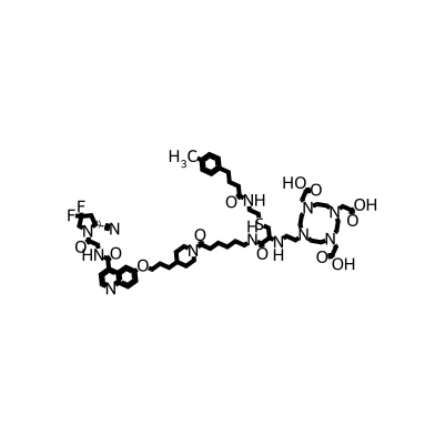 Cc1ccc(CCCC(=O)NCCSCC(NCCN2CCN(CC(=O)O)CCN(CC(=O)O)CCN(CC(=O)O)CC2)C(=O)NCCCCCC(=O)N2CCC(CCCOc3ccc4nccc(C(=O)NCC(=O)N5CC(F)(F)C[C@@H]5C#N)c4c3)CC2)cc1